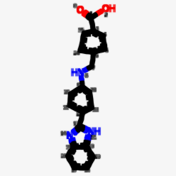 O=C(O)c1ccc(CNc2ccc(-c3nc4ccccc4[nH]3)cc2)cc1